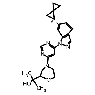 CC(C)(O)C1CN(c2cc(-n3ncc4ccc([C@@H]5CC56CC6)cc43)ncn2)CCO1